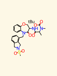 CC(C(=O)NC1COc2ccccc2N(Cc2cccc3c2CN(S(C)(=O)=O)C3)C1=O)N(C)C(=O)OC(C)(C)C